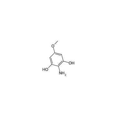 COc1cc(O)c(N)c(O)c1